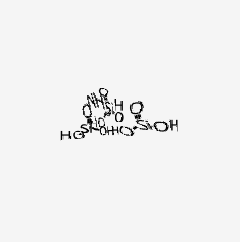 N.O=[Si](O)O.O=[Si](O)O.O=[Si](O)O